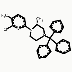 C[C@H]1CN(C(c2ccccc2)(c2ccccc2)c2ccccc2)CCN1c1ccc(C(F)(F)F)c(Cl)n1